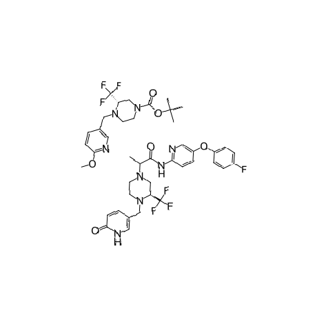 CC(C(=O)Nc1ccc(Oc2ccc(F)cc2)cn1)N1CCN(Cc2ccc(=O)[nH]c2)[C@H](C(F)(F)F)C1.COc1ccc(CN2CCN(C(=O)OC(C)(C)C)C[C@H]2C(F)(F)F)cn1